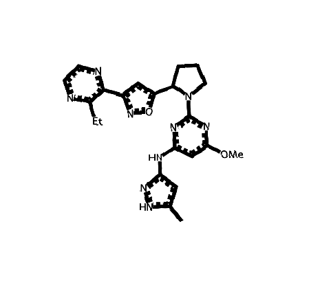 CCc1nccnc1-c1cc(C2CCCN2c2nc(Nc3cc(C)[nH]n3)cc(OC)n2)on1